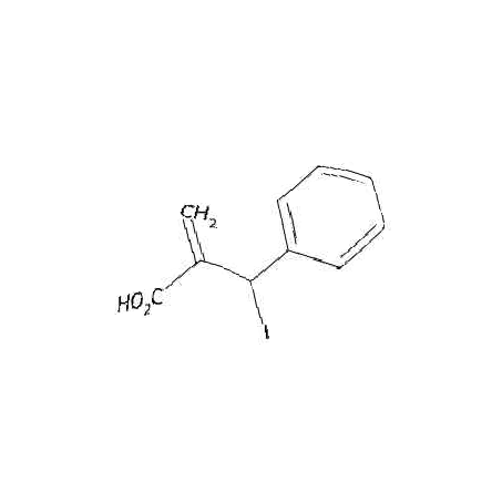 C=C(C(=O)O)C(I)c1ccccc1